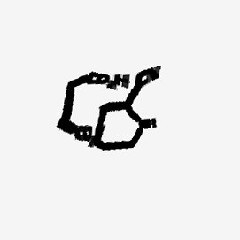 N#CC1CCCN1.O=C(O)/C=C\C(=O)O